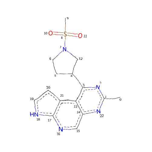 Cc1nc(C2CCN(S(C)(=O)=O)C2)c2c(cnc3[nH]ccc32)n1